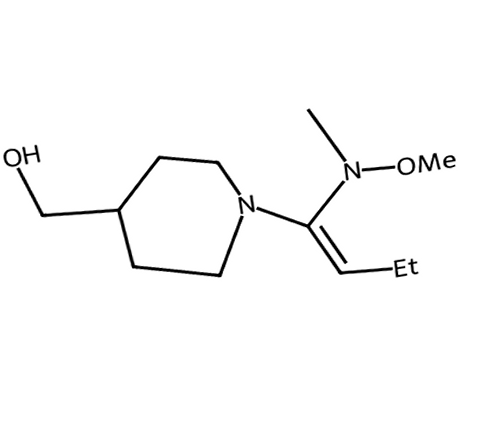 CC/C=C(/N1CCC(CO)CC1)N(C)OC